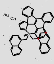 Cl.Cl.[CH2]=[Zr]([CH2]c1cccc2ccccc12)([CH2]c1cccc2ccccc12)([C]1=CC=CC1)[c]1cccc2c1c1c(c3ccccc32)-c2ccccc2C1